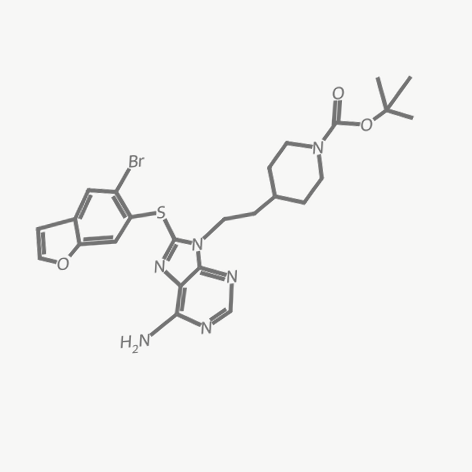 CC(C)(C)OC(=O)N1CCC(CCn2c(Sc3cc4occc4cc3Br)nc3c(N)ncnc32)CC1